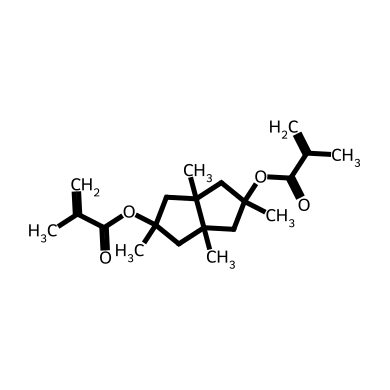 C=C(C)C(=O)OC1(C)CC2(C)CC(C)(OC(=O)C(=C)C)CC2(C)C1